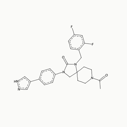 CC(=O)N1CCC2(CC1)CN(c1ccc(-c3cn[nH]c3)cc1)C(=O)N2Cc1ccc(F)cc1F